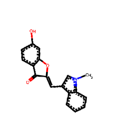 Cn1cc(/C=C2\Oc3cc(O)ccc3C2=O)c2ccccc21